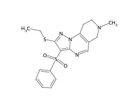 CCSc1nn2c3c(cnc2c1S(=O)(=O)c1ccccc1)CN(C)CC3